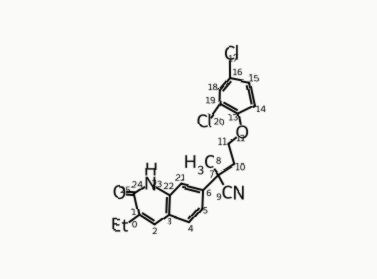 CCc1cc2ccc(C(C)(C#N)CCOc3ccc(Cl)cc3Cl)cc2[nH]c1=O